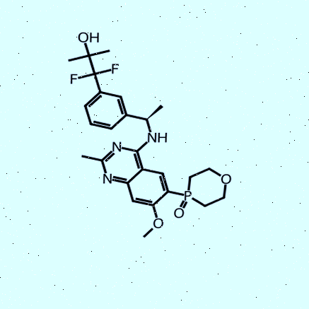 COc1cc2nc(C)nc(N[C@H](C)c3cccc(C(F)(F)C(C)(C)O)c3)c2cc1P1(=O)CCOCC1